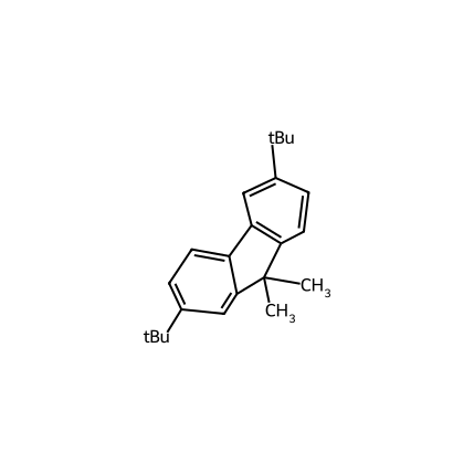 CC(C)(C)c1ccc2c(c1)-c1ccc(C(C)(C)C)cc1C2(C)C